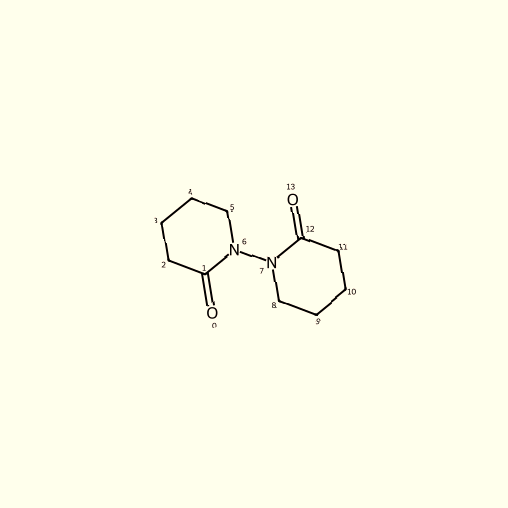 O=C1CCC[CH]N1N1CCCCC1=O